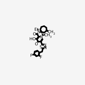 C=C1CCCCC2(C1)N(CC)C(=O)c1c(O)c(=O)c(-c3nnc(Cc4ccc(F)cc4F)s3)cn1N2C